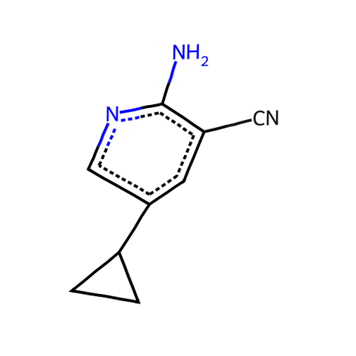 N#Cc1cc(C2CC2)cnc1N